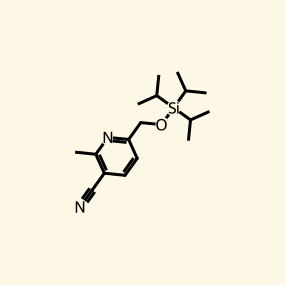 Cc1nc(CO[Si](C(C)C)(C(C)C)C(C)C)ccc1C#N